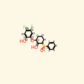 O=[PH](c1ccccc1)C1CCCC(Oc2cc(F)c(F)cc2O)[C@@H]1O